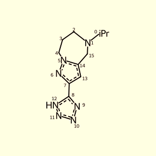 CC(C)N1CCCn2nc(-c3nnn[nH]3)cc2C1